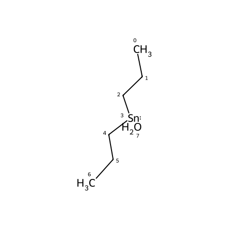 CC[CH2][Sn][CH2]CC.O